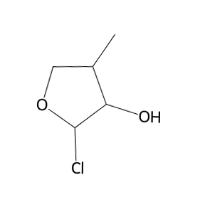 CC1COC(Cl)C1O